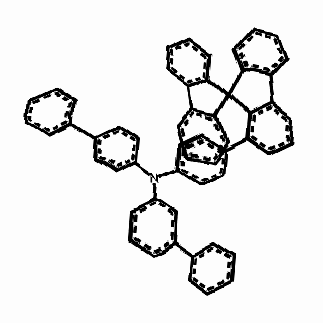 c1ccc(-c2ccc(N(c3ccc(-c4cccc5c4C4(c6ccccc6-c6ccccc64)c4ccccc4-5)cc3)c3cccc(-c4ccccc4)c3)cc2)cc1